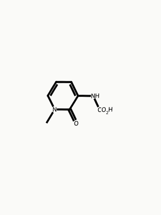 Cn1cccc(NC(=O)O)c1=O